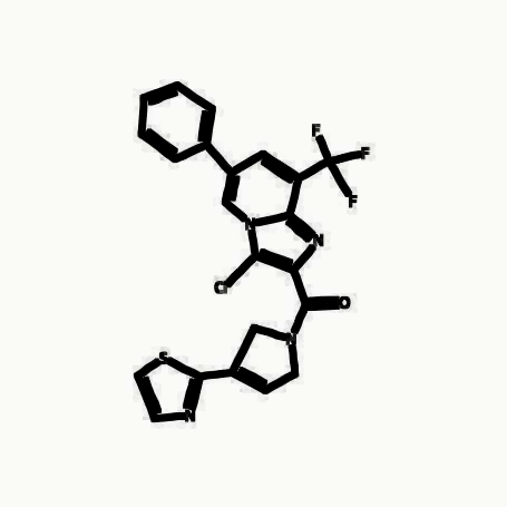 O=C(c1nc2c(C(F)(F)F)cc(-c3ccccc3)cn2c1Cl)N1CC=C(c2nccs2)C1